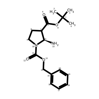 CC(C)(C)OC(=O)C1CCN(C(=O)OCc2ccccc2)[C@@H]1N